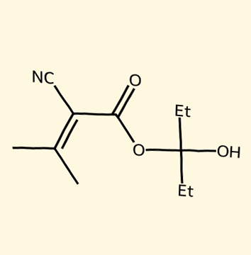 [CH2]CC(O)(CC)OC(=O)C(C#N)=C(C)C